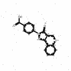 O=C(O)c1ccc(-n2nc3c4ccccc4scc-3c2=O)cc1